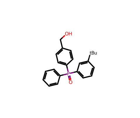 CC(C)(C)c1cccc(P(=O)(c2ccccc2)c2ccc(CO)cc2)c1